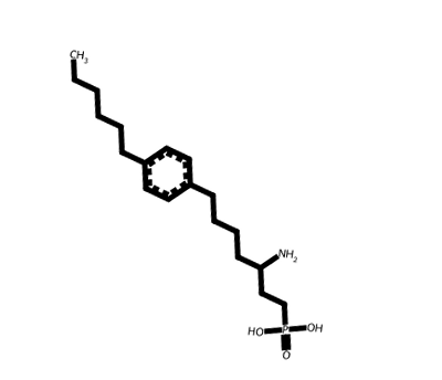 CCCCCCc1ccc(CCCCC(N)CCP(=O)(O)O)cc1